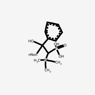 CCCCCCCCCC(O)(c1ccccc1)C([N+](C)(C)C)P(=O)(O)O